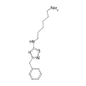 NCCCCCCNc1nc(Cc2ccccc2)ns1